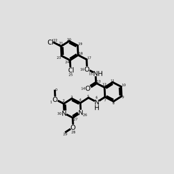 COc1cc(CNc2ccccc2C(=O)NOCc2ccc(Cl)cc2Cl)nc(OC)n1